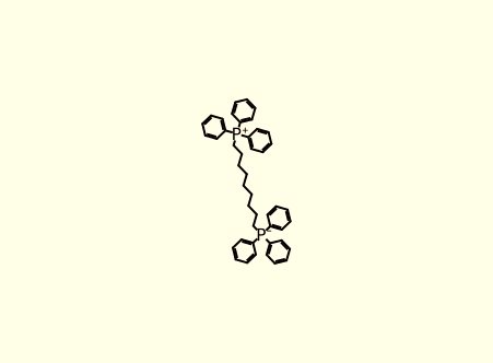 c1ccc([P+](CCCCCCCCC[P-](c2ccccc2)(c2ccccc2)c2ccccc2)(c2ccccc2)c2ccccc2)cc1